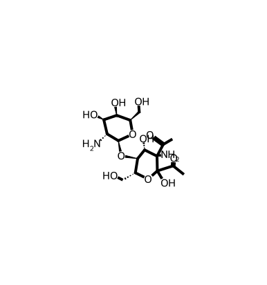 CC(=O)C1(O)O[C@H](CO)[C@@H](O[C@@H]2O[C@H](CO)[C@H](O)[C@H](O)[C@H]2N)[C@H](O)[C@]1(N)C(C)=O